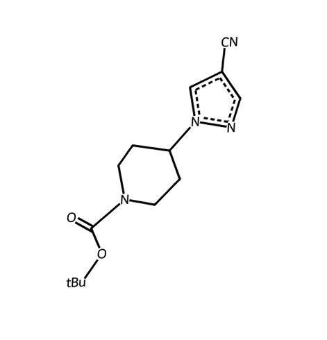 CC(C)(C)OC(=O)N1CCC(n2cc(C#N)cn2)CC1